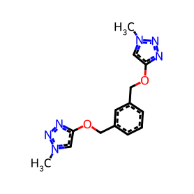 Cn1cc(OCc2cccc(COc3cn(C)nn3)c2)nn1